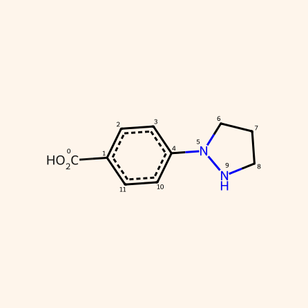 O=C(O)c1ccc(N2CCCN2)cc1